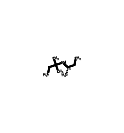 CC[C@H](C)NC(C)(C)CC